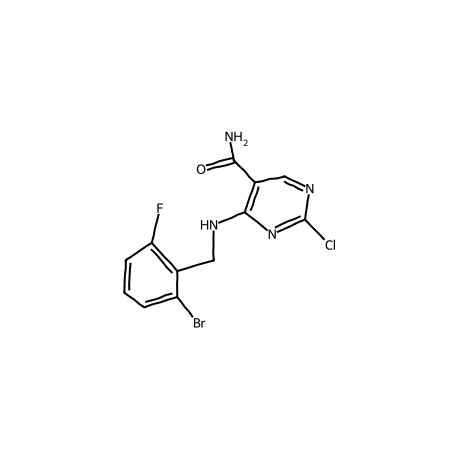 NC(=O)c1cnc(Cl)nc1NCc1c(F)cccc1Br